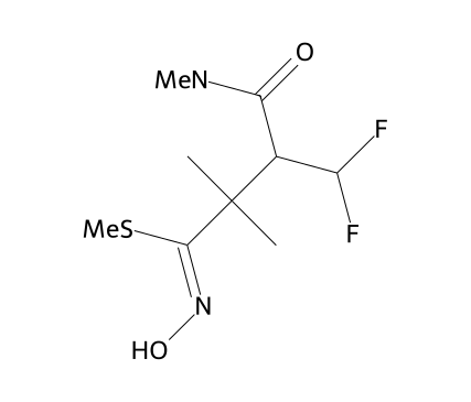 CNC(=O)C(C(F)F)C(C)(C)C(=NO)SC